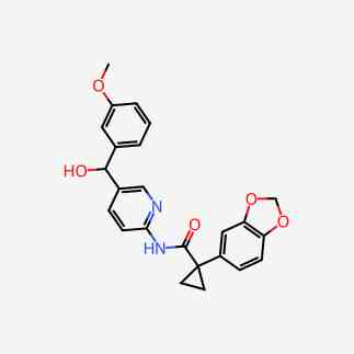 COc1cccc(C(O)c2ccc(NC(=O)C3(c4ccc5c(c4)OCO5)CC3)nc2)c1